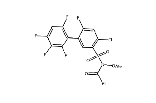 CCC(=O)N(OC)S(=O)(=O)c1cc(-c2c(F)cc(F)c(F)c2F)c(F)cc1Cl